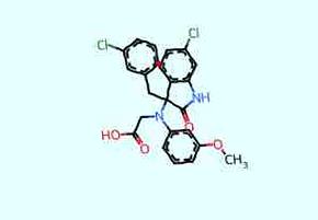 COc1cccc(N(CC(=O)O)C2(Cc3cccc(Cl)c3)C(=O)Nc3cc(Cl)ccc32)c1